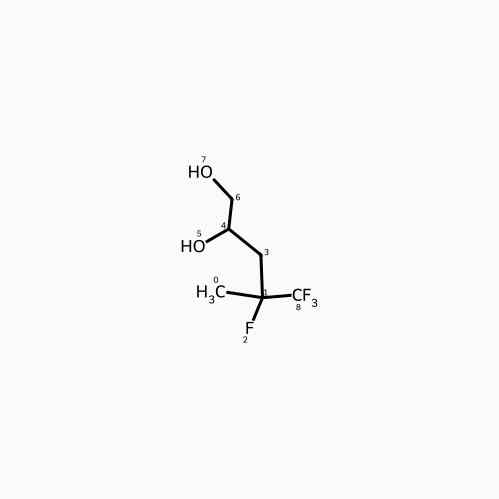 CC(F)(CC(O)CO)C(F)(F)F